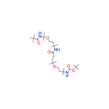 CC(C)(CCOC(C)(C)NC(=O)C(C)(C)C)NC(=O)CCC(C)(C)OCCC(C)(C)NC(=O)OC(C)(C)C